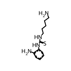 NCCCCCNC(=S)Nc1ccccc1N